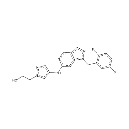 OCCn1cc(Nc2cc3c(cn2)cnn3Cc2cc(F)ccc2F)cn1